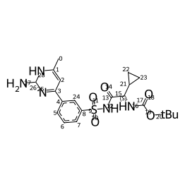 CC1=CC(c2cccc(S(=O)(=O)NC(=O)[C@@H](NC(=O)OC(C)(C)C)C3CC3)c2)=NC(N)N1